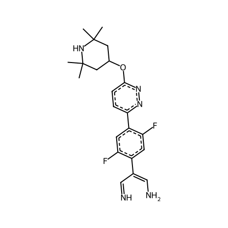 CC1(C)CC(Oc2ccc(-c3cc(F)c(/C(C=N)=C/N)cc3F)nn2)CC(C)(C)N1